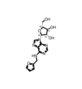 OC[C@H]1O[C@@H](n2cnc3c(NCc4ccco4)ncnc32)[C@@H](O)[C@@H]1O